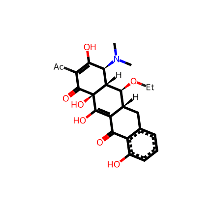 CCO[C@@H]1[C@H]2[C@H](N(C)C)C(O)=C(C(C)=O)C(=O)[C@@]2(O)C(O)=C2C(=O)c3c(O)cccc3C[C@H]21